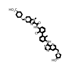 Cc1c(Nc2ncnc3cc(CN4CC[C@@H](O)C4)cnc23)cccc1-c1cccc(NC(=O)c2nc3c(n2C)CCN(C[C@H]2CC[C@H](C(=O)O)CC2)C3)c1Cl